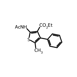 CCOC(=O)c1c(NC(C)=O)sc(C)c1-c1ccccc1